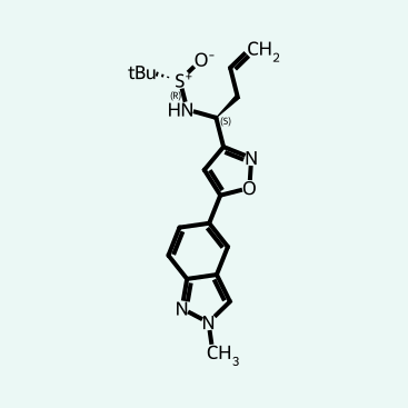 C=CC[C@H](N[S@@+]([O-])C(C)(C)C)c1cc(-c2ccc3nn(C)cc3c2)on1